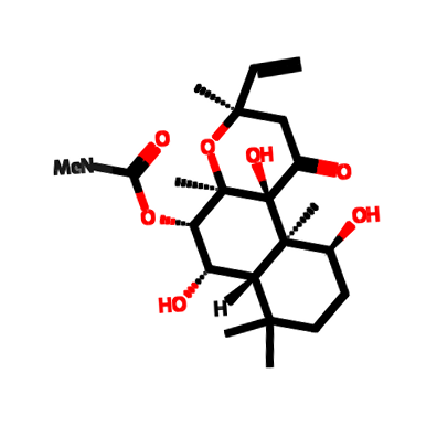 C=C[C@@]1(C)CC(=O)[C@]2(O)[C@@]3(C)[C@@H](O)CCC(C)(C)[C@@H]3[C@H](O)[C@H](OC(=O)NC)[C@@]2(C)O1